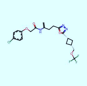 C=C(CCc1nnc([C@H]2C[C@@H](COC(F)(F)F)C2)o1)NC(=O)COc1ccc(Cl)cc1